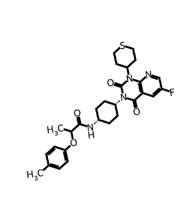 Cc1ccc(OC(C)C(=O)N[C@H]2CC[C@@H](n3c(=O)c4cc(F)cnc4n(C4CCSCC4)c3=O)CC2)cc1